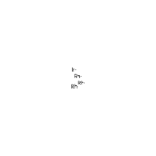 [Ir].[Rh].[Rh].[Rh]